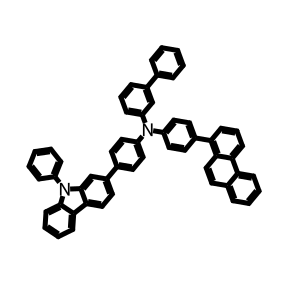 c1ccc(-c2cccc(N(c3ccc(-c4ccc5c6ccccc6n(-c6ccccc6)c5c4)cc3)c3ccc(-c4cccc5c4ccc4ccccc45)cc3)c2)cc1